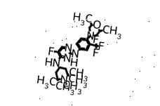 CC1CN(c2ccc(Nc3ncc(F)c(NC4CC(C)(C)N(C)C(C)(C)C4)n3)cc2C(F)(F)F)CC(C)O1